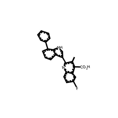 Cc1c(-c2c[nH]c3c(-c4ccccc4)cccc23)nc2ccc(F)cc2c1C(=O)O